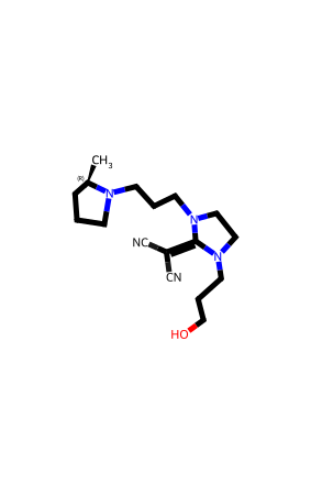 C[C@@H]1CCCN1CCCN1CCN(CCCO)C1=C(C#N)C#N